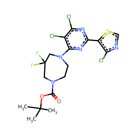 CC(C)(C)OC(=O)N1CCN(c2nc(-c3scnc3Cl)nc(Cl)c2Cl)CC(F)(F)C1